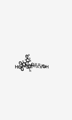 COc1ccc2c(c1)-c1cc(=O)c(C(=O)O)cn1C1C2C(OCCCCCCO)CC1(C)C